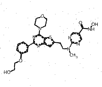 CN(CCc1cc2nc(-c3cccc(OCCO)c3)nc(N3CCOCC3)c2s1)c1ncc(C(=O)NO)cn1